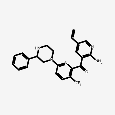 C=Cc1cnc(N)c(C(=O)c2nc(N3CCNC(c4ccccc4)C3)ccc2C(F)(F)F)c1